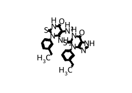 CCc1cccc(-n2c(=S)[nH]c(=O)c3[nH]cnc32)c1.CCc1cccc(-n2c(N)c(N)c(=O)[nH]c2=S)c1